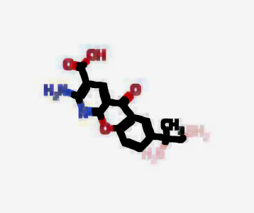 BCC(B)(C)c1ccc2oc3nc(N)c(C(=O)O)cc3c(=O)c2c1